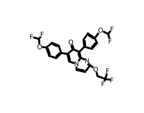 O=c1c(-c2ccc(OC(F)F)cc2)cn2ccc(OCC(F)(F)F)nc2c1-c1ccc(OC(F)F)cc1